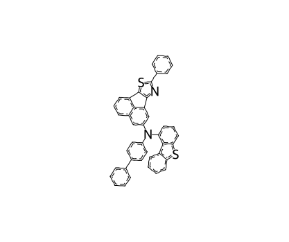 c1ccc(-c2ccc(N(c3cc4c5c(cccc5c3)-c3sc(-c5ccccc5)nc3-4)c3cccc4sc5ccccc5c34)cc2)cc1